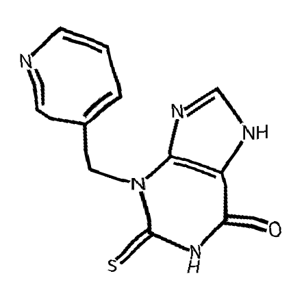 O=c1[nH]c(=S)n(Cc2cccnc2)c2nc[nH]c12